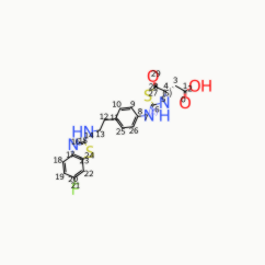 O=C(O)C[C@@H]1N/C(=N/c2ccc(CCNc3nc4ccc(F)cc4s3)cc2)SC1=O